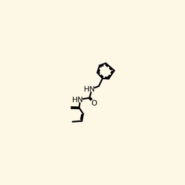 C=C(/C=C\C)NC(=O)NCc1ccccc1